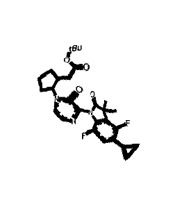 CC(C)(C)OC(=O)CC1CCCC1n1ccnc(N2C(=O)C(C)(C)c3c(F)c(C4CC4)cc(F)c32)c1=O